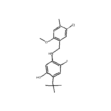 COc1cc(C)c(Cl)cc1CNc1cc(O)c(C(C)(C)C)cc1F